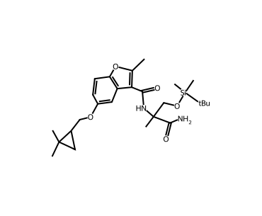 Cc1oc2ccc(OCC3CC3(C)C)cc2c1C(=O)NC(C)(CO[Si](C)(C)C(C)(C)C)C(N)=O